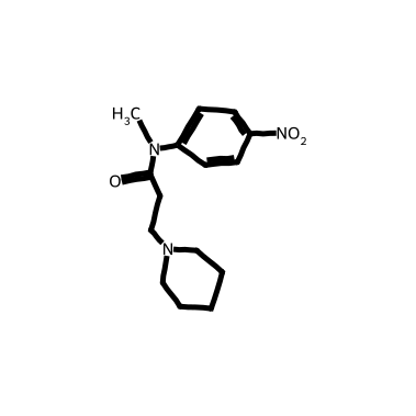 CN(C(=O)CCN1CCCCC1)c1ccc([N+](=O)[O-])cc1